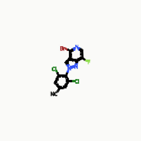 N#Cc1cc(Cl)c(-n2cc3c(Br)ncc(F)c3n2)c(Cl)c1